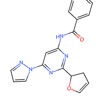 O=C(Nc1cc(-n2cccn2)nc(C2CC=CO2)n1)c1ccccc1